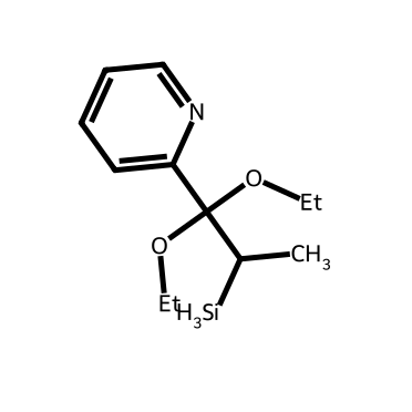 CCOC(OCC)(c1ccccn1)C(C)[SiH3]